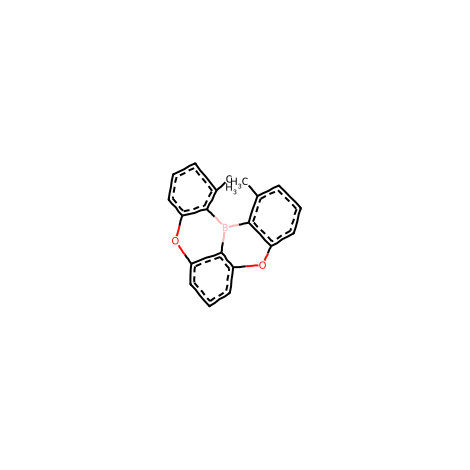 Cc1cccc2c1B1c3c(C)cccc3Oc3cccc(c31)O2